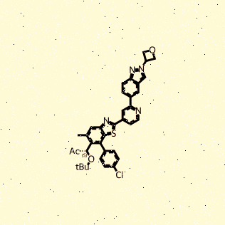 CC(=O)[C@@H](OC(C)(C)C)c1c(C)cc2nc(-c3ccnc(-c4ccc5nn(C6COC6)cc5c4)c3)sc2c1-c1ccc(Cl)cc1